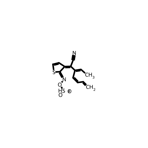 C=C\C=C/C(=C\C)C(/C#N)=C1/C=CS/C1=N\O[SH](=O)=O